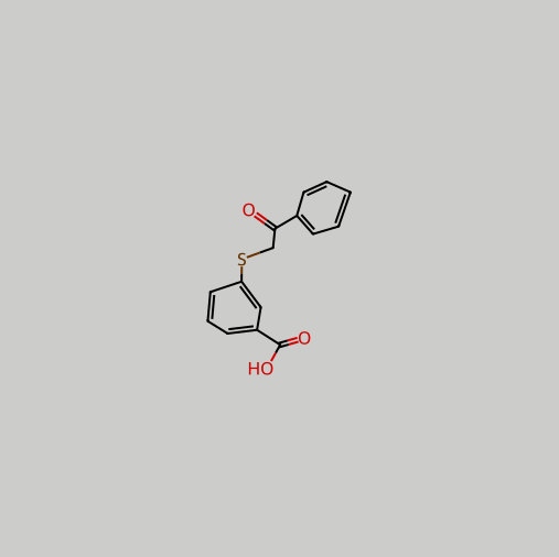 O=C(O)c1cccc(SCC(=O)c2ccccc2)c1